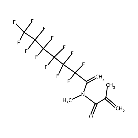 C=C(C)C(=O)N(C)C(=C)C(F)(F)C(F)(F)C(F)(F)C(F)(F)C(F)(F)C(F)(F)F